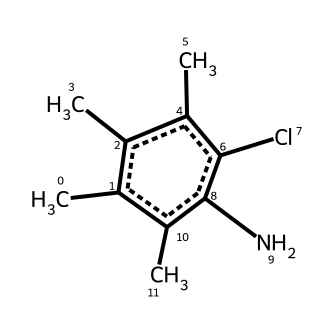 Cc1c(C)c(C)c(Cl)c(N)c1C